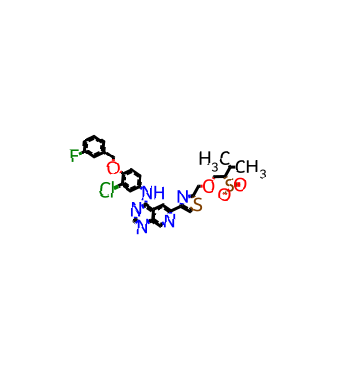 CC(C)C(COCc1nc(-c2cc3c(Nc4ccc(OCc5cccc(F)c5)c(Cl)c4)ncnc3cn2)cs1)=S(=O)=O